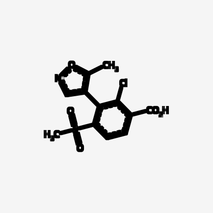 Cc1oncc1-c1c(S(C)(=O)=O)ccc(C(=O)O)c1Cl